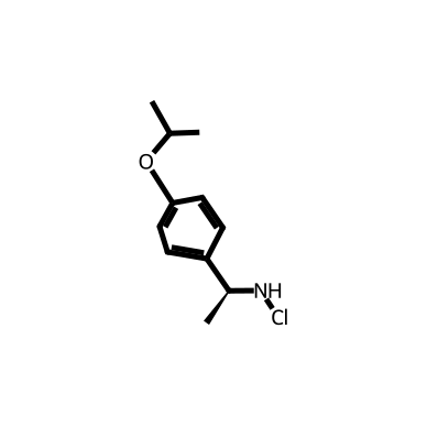 CC(C)Oc1ccc([C@H](C)NCl)cc1